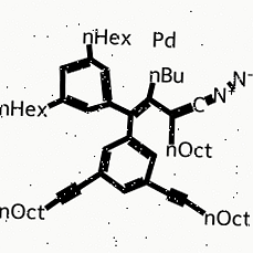 CCCCCCCCC#Cc1cc(C#CCCCCCCCC)cc(C(=C(CCCC)C(=C=[N+]=[N-])CCCCCCCC)c2cc(CCCCCC)cc(CCCCCC)c2)c1.[Pd]